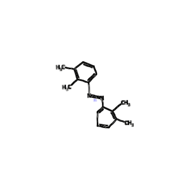 Cc1cccc(/N=N/c2cccc(C)c2C)c1C